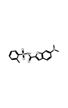 Cc1ccccc1S(=O)(=O)NC(=O)c1cc2ccc(N(C)C)cc2o1